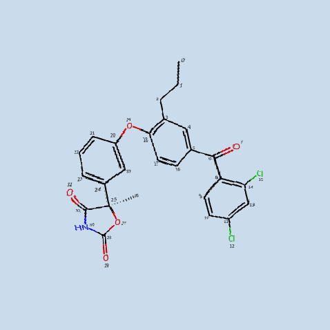 CCCc1cc(C(=O)c2ccc(Cl)cc2Cl)ccc1Oc1cccc([C@@]2(C)OC(=O)NC2=O)c1